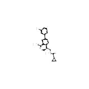 Nc1ncc(CNC(=O)C2CC2)c2ccc(-c3cccc(F)c3)cc12